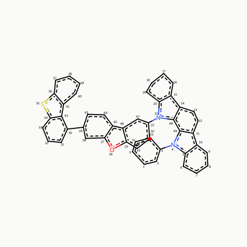 c1ccc(-n2c3ccccc3c3ccc4c5ccccc5n(-c5ccc6oc7cc(-c8cccc9sc%10ccccc%10c89)ccc7c6c5)c4c32)cc1